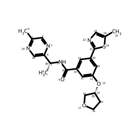 Cc1cnc([C@@H](C)NC(=O)c2cc(O[C@@H]3CCOC3)cc(-c3ncc(C)s3)c2)cn1